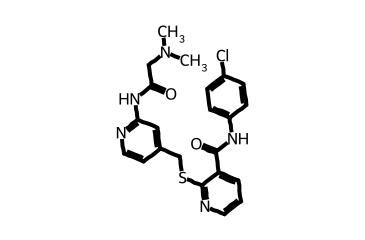 CN(C)CC(=O)Nc1cc(CSc2ncccc2C(=O)Nc2ccc(Cl)cc2)ccn1